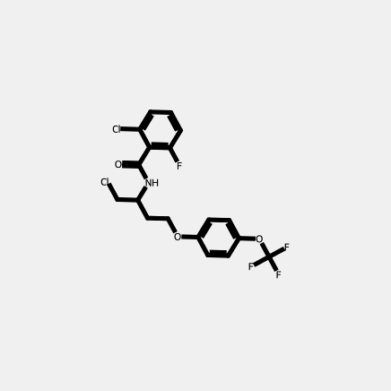 O=C(NC(CCl)CCOc1ccc(OC(F)(F)F)cc1)c1c(F)cccc1Cl